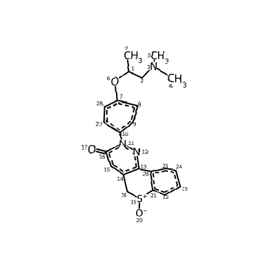 CC(CN(C)C)Oc1ccc(-n2nc3c(cc2=O)C[S+]([O-])c2ccccc2-3)cc1